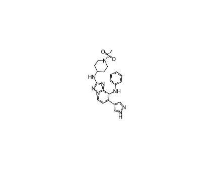 CS(=O)(=O)N1CCC(Nc2nc3c(Nc4ccccc4)c(-c4cn[nH]c4)ccn3n2)CC1